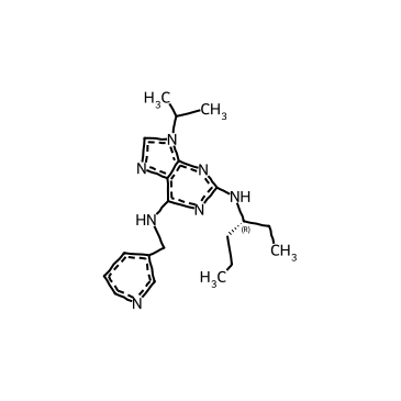 CCC[C@@H](CC)Nc1nc(NCc2cccnc2)c2ncn(C(C)C)c2n1